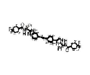 CC(C)C(NC(=O)C1CCC(F)(F)CC1)c1nc2ccc(C#Cc3ccc(-c4cnc([C@@H](NC(=O)C5CCC(F)(F)CC5)C(C)C)[nH]4)cc3)cc2[nH]1